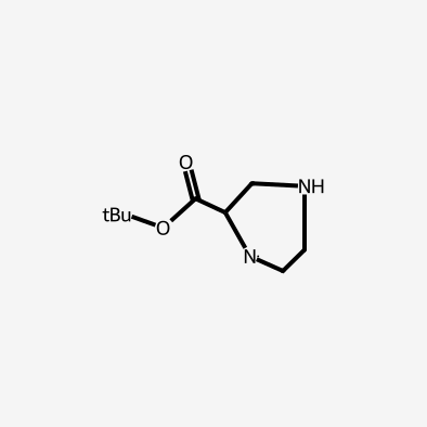 CC(C)(C)OC(=O)C1CNCC[N]1